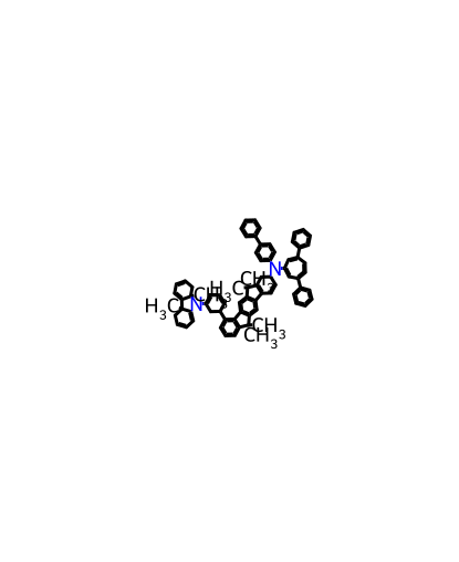 CC12CC=CC=C1N(C1=CC=CC(c3cccc4c3-c3cc5c(cc3C4(C)C)C3=C(CC(N(C4=CC(c6ccccc6)=C=CC(c6ccccc6)=C4)c4ccc(-c6ccccc6)cc4)C=C3)C5(C)C)C1)C1(C)CC=CC=C21